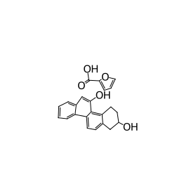 O=C(O)c1ccco1.Oc1cc2ccccc2c2ccc3c(c12)CCC(O)C3